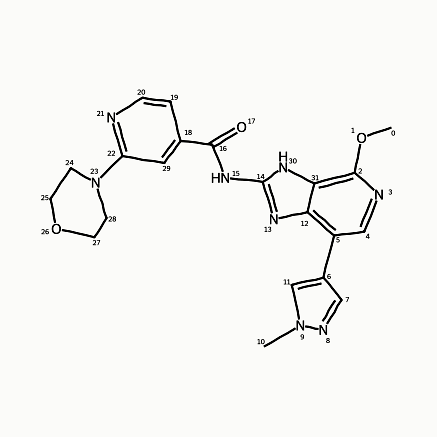 COc1ncc(-c2cnn(C)c2)c2nc(NC(=O)c3ccnc(N4CCOCC4)c3)[nH]c12